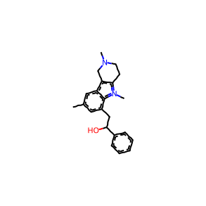 Cc1cc(CC(O)c2ccccc2)c2c(c1)c1c(n2C)CCN(C)C1